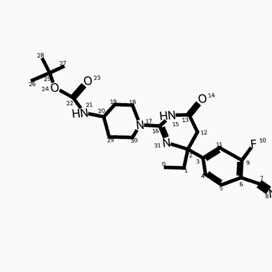 CCC1(c2ccc(C#N)c(F)c2)CC(=O)NC(N2CCC(NC(=O)OC(C)(C)C)CC2)=N1